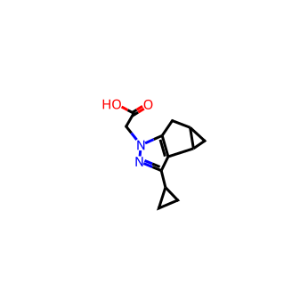 O=C(O)Cn1nc(C2CC2)c2c1CC1CC21